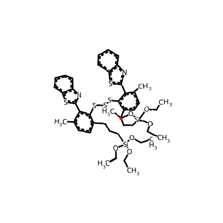 CCO[Si](CCCc1ccc(C)c(-c2nc3ccccc3s2)c1SSSc1c(CCC[Si](OCC)(OCC)OCC)ccc(C)c1-c1nc2ccccc2s1)(OCC)OCC